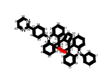 c1ccc(N2c3ccccc3C3(c4ccccc42)c2ccccc2C2(c4ccccc4N(c4ccc(-c5ncccn5)cc4)c4ccccc42)c2ccccc23)cc1